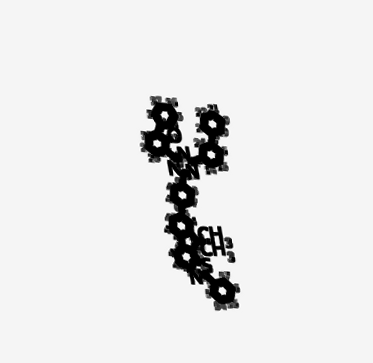 CC1(C)c2cc(-c3ccc(-c4nc(-c5cccc(-c6ccccc6)c5)nc(-c5cccc6c5oc5ccccc56)n4)cc3)ccc2-c2ccc3nc(-c4ccccc4)sc3c21